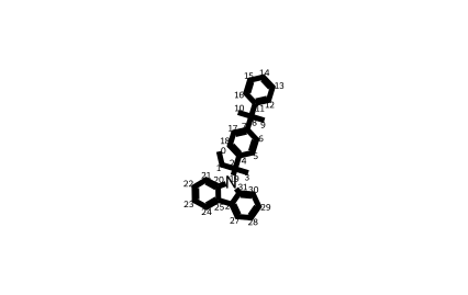 CCC(C)(c1ccc(C(C)(C)c2ccccc2)cc1)n1c2ccccc2c2ccccc21